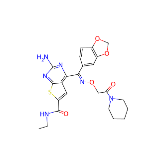 CCNC(=O)c1cc2c(C(=NOCC(=O)N3CCCCC3)c3ccc4c(c3)OCO4)nc(N)nc2s1